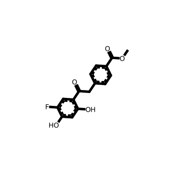 COC(=O)c1ccc(CC(=O)c2cc(F)c(O)cc2O)cc1